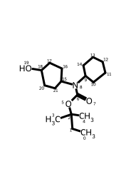 CCC(C)(C)OC(=O)N(C1CCCCC1)C1CCC(O)CC1